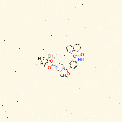 CC1CN(C(=O)OC(C)(C)C)CCN1C(=O)c1ccc(NS(=O)(=O)c2cccc3cccnc23)cc1